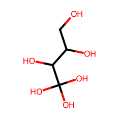 OCC(O)C(O)C(O)(O)O